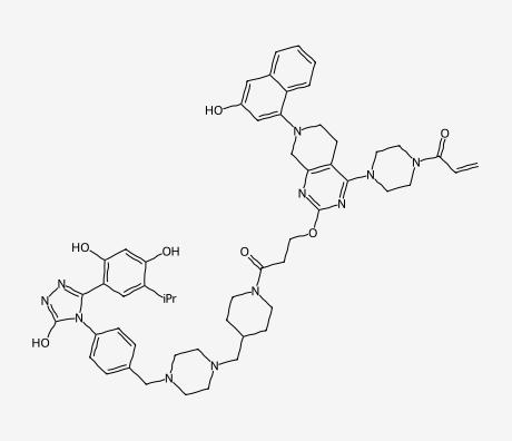 C=CC(=O)N1CCN(c2nc(OCCC(=O)N3CCC(CN4CCN(Cc5ccc(-n6c(O)nnc6-c6cc(C(C)C)c(O)cc6O)cc5)CC4)CC3)nc3c2CCN(c2cc(O)cc4ccccc24)C3)CC1